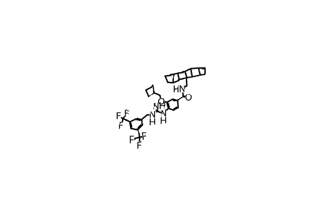 N=C(NCc1cc(C(F)(F)F)cc(C(F)(F)F)c1)Nc1ccc(C(=O)NCC23C4C5CCC5C4C2C2C4CCC4C23)cc1OCC1CCC1